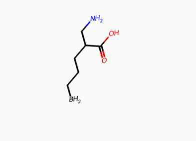 BCCCC(CN)C(=O)O